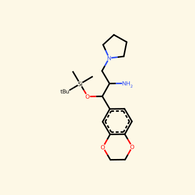 CC(C)(C)[Si](C)(C)OC(c1ccc2c(c1)OCCO2)C(N)CN1CCCC1